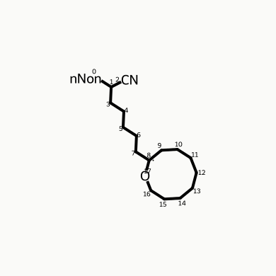 [CH2]CCCCCCCCC(C#N)CCCCC[C]1CCCCCCCCO1